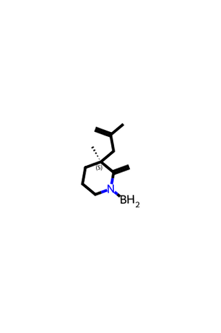 BN1CCC[C@@](C)(CC(=C)C)C1=C